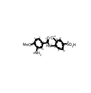 COc1ccc(C(=O)Nc2ccc(S(=O)(=O)O)cc2Cl)cc1N